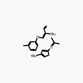 C=CC(=COc1cccc(C)c1)C(C)(C)C.C[C](C)=[Ti][C]1=CC(C(C)(C)C)=CC1